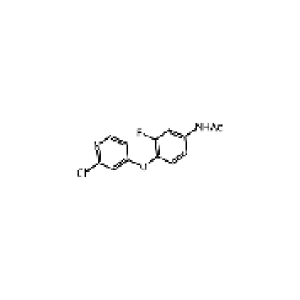 CC(=O)Nc1ccc(Oc2ccnc(Cl)c2)c(F)c1